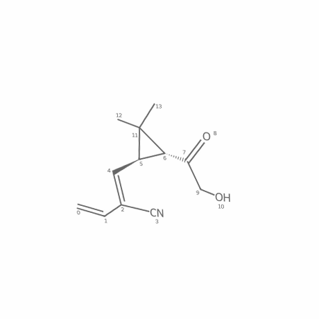 C=C/C(C#N)=C/[C@@H]1[C@@H](C(=O)CO)C1(C)C